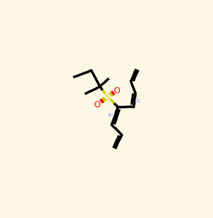 C=C/C=C\C(=C/C=C)S(=O)(=O)C(C)(C)CC